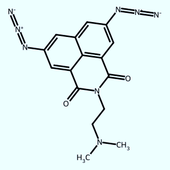 CN(C)CCN1C(=O)c2cc(N=[N+]=[N-])cc3cc(N=[N+]=[N-])cc(c23)C1=O